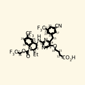 CC[C@@H]1C[C@H](Nc2ncc(OCCCC(=O)O)c(Cc3cc(C#N)cc(C(F)(F)F)c3)n2)c2cc(C(F)(F)F)ccc2N1C(=O)OCC(F)(F)F